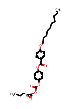 CCCCCCCCCCOc1ccc(C(=O)Oc2ccc(OC(=O)O[C@H]3O[C@H]3CCC)cc2)cc1